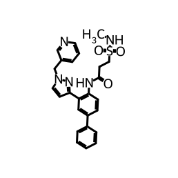 CNS(=O)(=O)CCC(=O)Nc1ccc(-c2ccccc2)cc1-c1ccn(Cc2cccnc2)n1